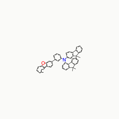 CC1(C)c2ccccc2-c2ccc(N(c3cccc(-c4ccc5c(c4)oc4ccccc45)c3)c3cccc4c3-c3ccccc3C4(C)C)cc21